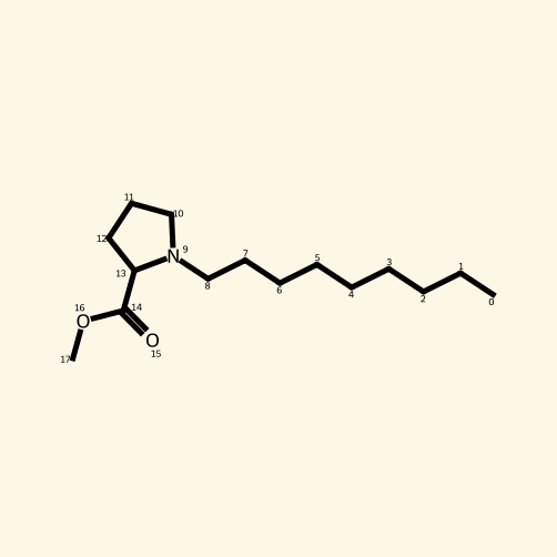 CCCCCCCCCN1CCCC1C(=O)OC